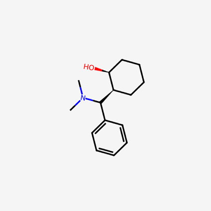 CN(C)C(c1ccccc1)[C@@H]1CCCC[C@@H]1O